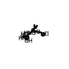 CCN(CC)CCN(CCNC[C@H](O)c1ccc(O)c2[nH]c(=O)sc12)C(=O)CCOCCc1cccc(Cl)c1